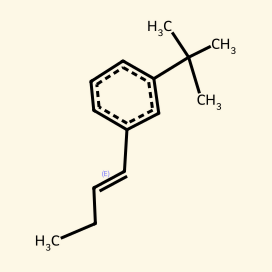 CC/C=C/c1cccc(C(C)(C)C)c1